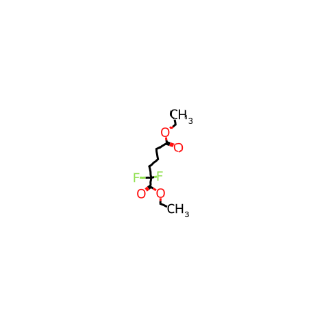 CCOC(=O)CCCC(F)(F)C(=O)OCC